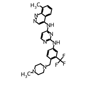 Cc1cccc2c(Nc3ccnc(Nc4ccc(CN5CCN(C)CC5)c(C(F)(F)F)c4)n3)cnnc12